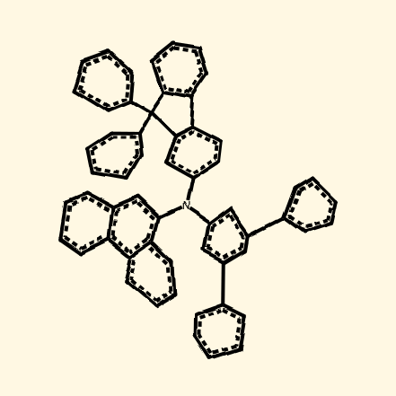 c1ccc(-c2cc(-c3ccccc3)cc(N(c3ccc4c(c3)C(c3ccccc3)(c3ccccc3)c3ccccc3-4)c3cc4ccccc4c4ccccc34)c2)cc1